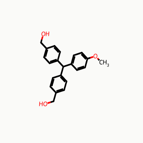 COc1ccc(C(c2ccc(CO)cc2)c2ccc(CO)cc2)cc1